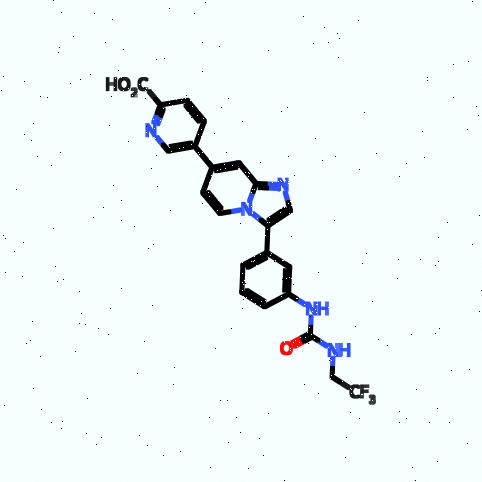 O=C(NCC(F)(F)F)Nc1cccc(-c2cnc3cc(-c4ccc(C(=O)O)nc4)ccn23)c1